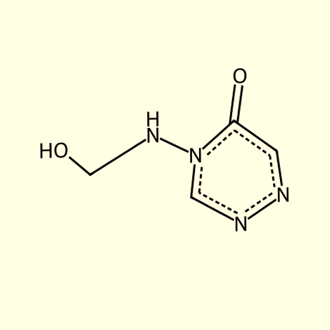 O=c1cnncn1NCO